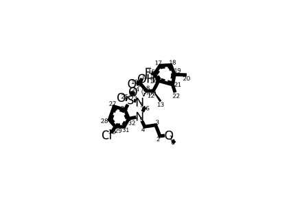 COCCCN1CN([C@H](C(=O)O)[C@H](C)c2c(F)ccc(C)c2C)S(=O)(=O)c2ccc(Cl)cc21